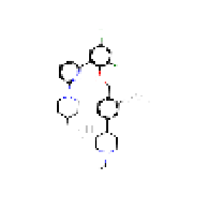 COc1cc(C2CCN(CC(F)(F)F)CC2)ccc1COc1c(F)cc(F)cc1-c1cccc(N2CCC(C(=O)O)CC2)n1